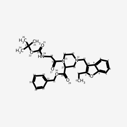 CCc1oc2ccccc2c1CN1CCN(C(=O)CNC(=O)OC(C)(C)C)C(C(=O)OCc2ccccc2)C1